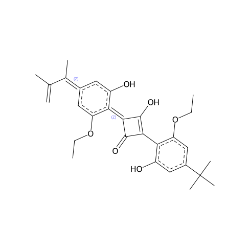 C=C(C)/C(C)=c1/cc(O)/c(=C2/C(=O)C(c3c(O)cc(C(C)(C)C)cc3OCC)=C2O)c(OCC)c1